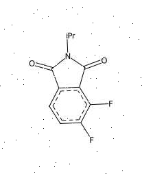 CC(C)N1C(=O)c2ccc(F)c(F)c2C1=O